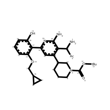 CC(=O)C(N)c1c(C2CCCN(C(=O)OC(C)(C)C)C2)cc(-c2c(O)cccc2OCC2CC2)nc1N